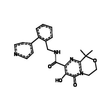 CC1(C)OCCn2c1nc(C(=O)NCc1ccccc1-c1ccncc1)c(O)c2=O